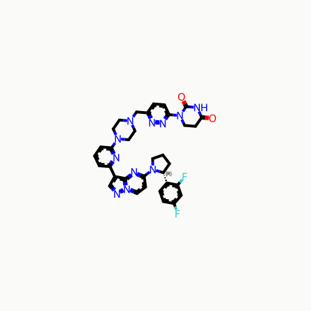 O=C1CCN(c2ccc(CN3CCN(c4cccc(-c5cnn6ccc(N7CCC[C@@H]7c7ccc(F)cc7F)nc56)n4)CC3)nn2)C(=O)N1